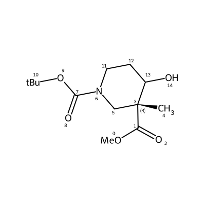 COC(=O)[C@]1(C)CN(C(=O)OC(C)(C)C)CCC1O